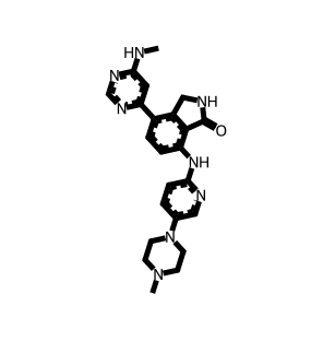 CNc1cc(-c2ccc(Nc3ccc(N4CCN(C)CC4)cn3)c3c2CNC3=O)ncn1